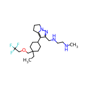 CCC1(COCC(F)(F)F)CCC(c2c(CNCCNC)nn3c2CCC3)CC1